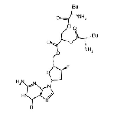 CC[C@H](C)[C@H](N)C(=O)OC[C@@H](OC(=O)[C@@H](N)[C@@H](C)CC)C(=O)OC[C@H]1O[C@@H](n2cnc3c(=O)[nH]c(N)nc32)C[C@@H]1F